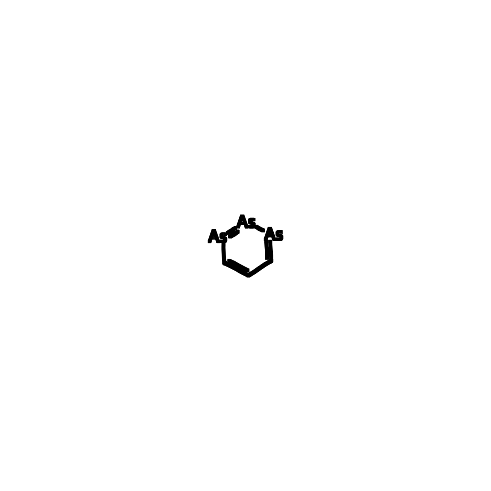 C1=C[As]=[As][As]=C1